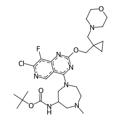 CN1CCN(c2nc(OCC3(CN4CCOCC4)CC3)nc3c(F)c(Cl)ncc23)CC(NC(=O)OC(C)(C)C)C1